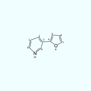 [c]1ccc(-c2ccco2)cn1